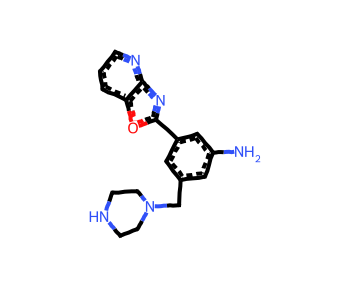 Nc1cc(CN2CCNCC2)cc(-c2nc3ncccc3o2)c1